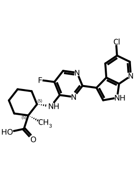 C[C@]1(C(=O)O)CCCC[C@@H]1Nc1nc(-c2c[nH]c3ncc(Cl)cc23)ncc1F